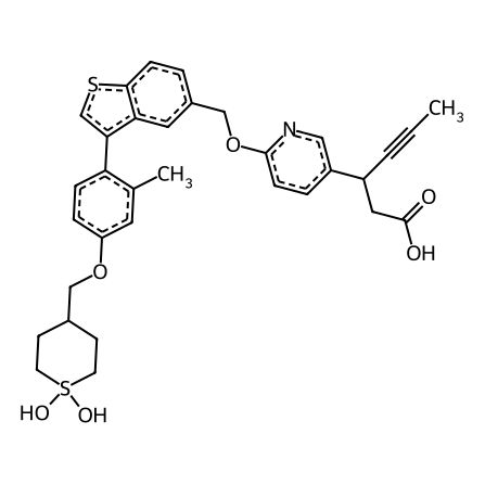 CC#CC(CC(=O)O)c1ccc(OCc2ccc3scc(-c4ccc(OCC5CCS(O)(O)CC5)cc4C)c3c2)nc1